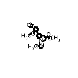 C1CCOC1.CCOc1ccccc1-c1ccc2c(c1)C=C(C(=O)OC)CCN2Cc1nccn1C